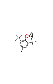 Cc1cc(C(C)(C)C)c([O][Al]([CH3])[CH3])c(C(C)(C)C)c1